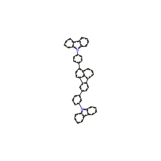 c1cc(-c2ccc3c(c2)-c2ccc(-c4ccc(-n5c6ccccc6c6ccccc65)cc4)c4cccc-3c24)cc(-n2c3ccccc3c3ccccc32)c1